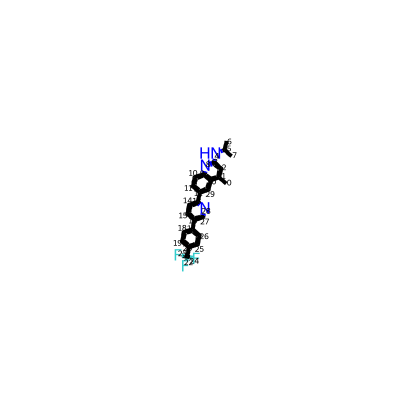 Cc1cc(NC(C)C)nc2ccc(-c3ccc(-c4ccc(C(F)(F)F)cc4)cn3)cc12